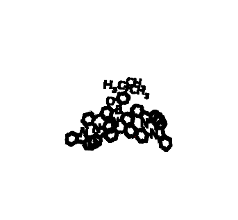 CC(C)(C)c1ccc2c(c1)Oc1cc(-c3cccc(-n4c5ccccc5c5ccccc54)c3-n3c4ccccc4c4ccccc43)cc3c1B2c1ccc(-c2cccc(-n4c5ccccc5c5ccccc54)c2-n2c4ccccc4c4ccccc42)cc1N3c1ccccc1-c1ccccc1